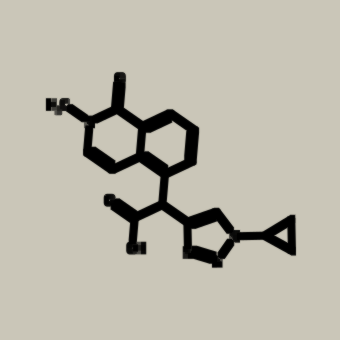 Cn1ccc2c(C(C(=O)O)c3cn(C4CC4)nn3)cccc2c1=O